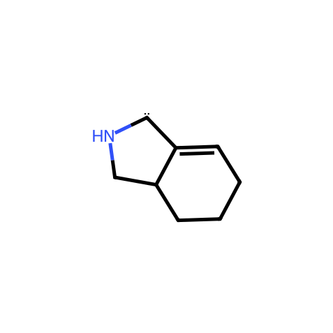 [C]1NCC2CCCC=C12